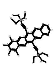 CC[Si](C#Cc1c2cc3ccccc3cc2c(C#C[Si](CC)(CC)CC)c2cc3c(C)c(C)c(C)c(C)c3cc12)(CC)CC